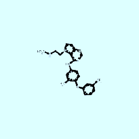 Cc1cc(Nc2ncnc3ccn(CCNC(=O)O)c23)ccc1Oc1cccc(C(F)(F)F)c1